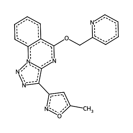 Cc1cc(-c2nnn3c2nc(OCc2ccccn2)c2ccccc23)no1